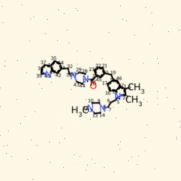 Cc1c(C)n(CCCN2CCN(C)CC2)c2ccc(Cc3cccc(C(=O)N4CCN(CCc5ccc6cccnc6c5)CC4)c3)cc12